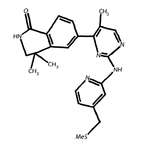 CSCc1ccnc(Nc2ncc(C)c(-c3ccc4c(c3)C(C)(C)CNC4=O)n2)c1